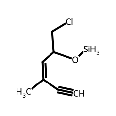 C#CC(C)=CC(CCl)O[SiH3]